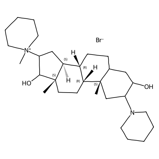 C[C@]12CC(N3CCCCC3)C(O)CC1CC[C@@H]1[C@H]2CC[C@]2(C)C(O)C([N+]3(C)CCCCC3)C[C@@H]12.[Br-]